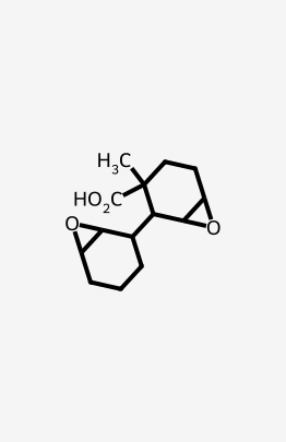 CC1(C(=O)O)CCC2OC2C1C1CCCC2OC21